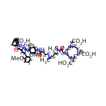 COc1cccc(OC)c1-c1cc(C(=O)NC2(C(=O)O)C3CC4CC(C3)C2C4)nn1-c1ccc(NC(=O)CCCN(C)CCCN(C)C(=O)CN2CCN(CC(=O)O)CCN(CC(=O)O)CCN(CC(=O)O)CC2)cc1C(C)C